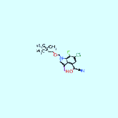 C[Si](C)(C)CCOCn1cc(I)c2c(C(O)C#N)cc(Cl)c(F)c21